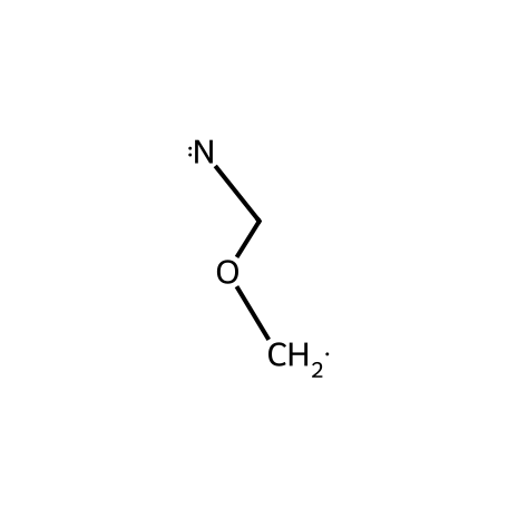 [CH2]OC[N]